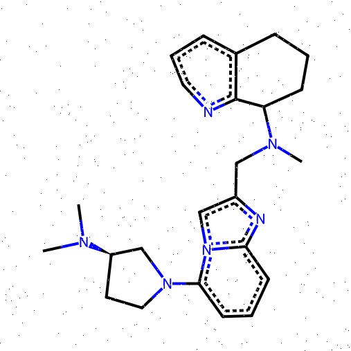 CN(Cc1cn2c(N3CC[C@@H](N(C)C)C3)cccc2n1)C1CCCc2cccnc21